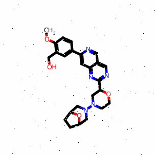 COc1ccc(-c2cc3nc(C4CN(N5CC6CCC(C5)O6)CCO4)ncc3cn2)cc1CO